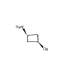 CN[C@H]1C[C@@H](C#N)C1